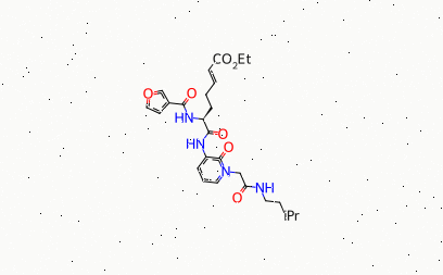 CCOC(=O)/C=C/CC[C@H](NC(=O)c1ccoc1)C(=O)Nc1cccn(CC(=O)NCCC(C)C)c1=O